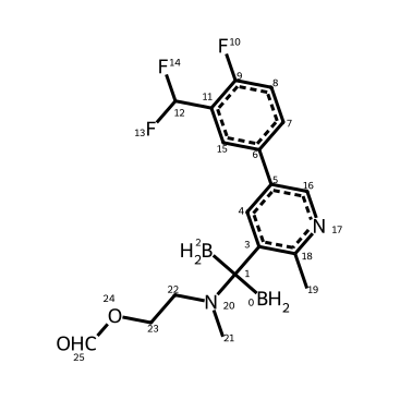 BC(B)(c1cc(-c2ccc(F)c(C(F)F)c2)cnc1C)N(C)CCOC=O